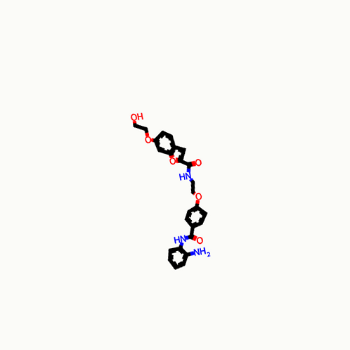 Nc1ccccc1NC(=O)c1ccc(OCCNC(=O)c2cc3ccc(OCCO)cc3o2)cc1